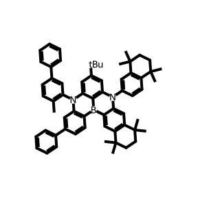 Cc1ccc(-c2ccccc2)cc1N1c2cc(-c3ccccc3)ccc2B2c3cc4c(cc3N(c3ccc5c(c3)C(C)(C)CCC5(C)C)c3cc(C(C)(C)C)cc1c32)C(C)(C)CCC4(C)C